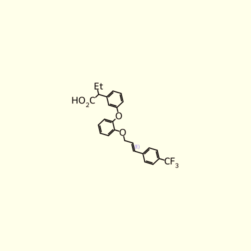 CCC(C(=O)O)c1cccc(Oc2ccccc2OC/C=C/c2ccc(C(F)(F)F)cc2)c1